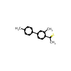 CC(=S)c1ccc(-c2ccc(C)cc2)cc1C